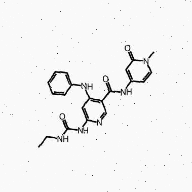 CCNC(=O)Nc1cc(Nc2ccccc2)c(C(=O)Nc2ccn(C)c(=O)c2)cn1